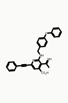 CC(=N)c1c(C(=O)O)cc(C#Cc2ccccc2)nc1NCc1ccc(Oc2ccccc2)cc1